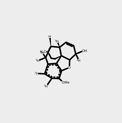 [2H]c1c([2H])c2c3c(c1OC)OC1C([2H])(O)C=C[C@@]4([2H])[C@H](N(C)CC[C@]314)C2([2H])[2H]